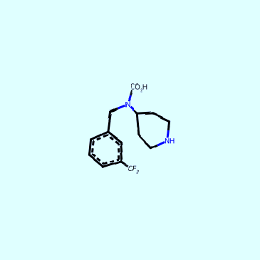 O=C(O)N(Cc1cccc(C(F)(F)F)c1)C1CCNCC1